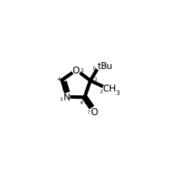 CC(C)(C)C1(C)OC=NC1=O